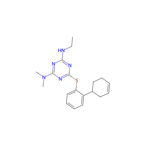 CCNc1nc(Sc2ccccc2C2CC=CCC2)nc(N(C)C)n1